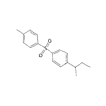 CCC(C)c1ccc(S(=O)(=O)c2ccc(C)cc2)cc1